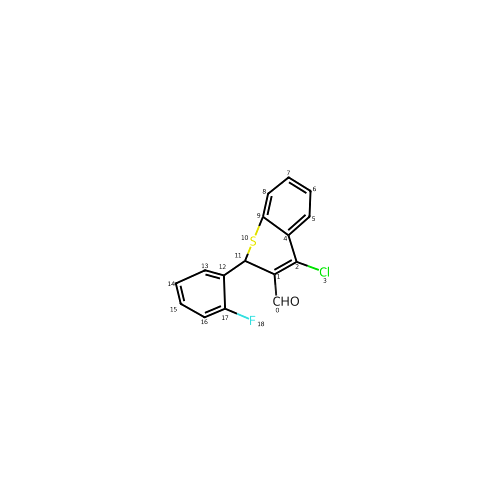 O=CC1=C(Cl)c2ccccc2SC1c1ccccc1F